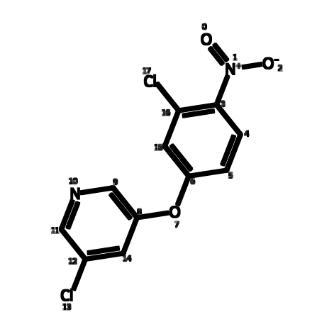 O=[N+]([O-])c1ccc(Oc2cncc(Cl)c2)cc1Cl